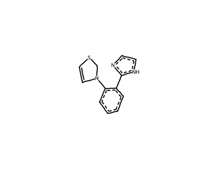 C1=CN(c2ccccc2-c2ncc[nH]2)CS1